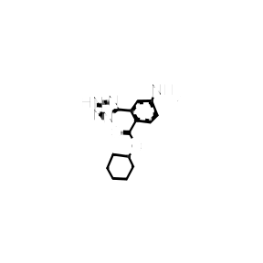 Nc1ccc(C(=O)OC2CCCCC2)c(-c2nn[nH]n2)c1